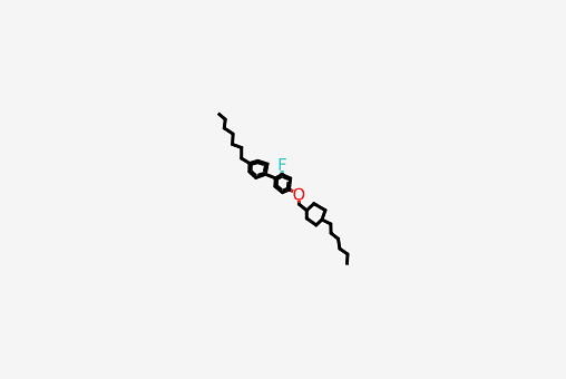 CCCCCCCc1ccc(-c2ccc(OCC3CCC(CCCCCC)CC3)cc2F)cc1